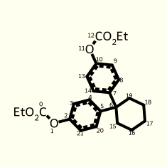 CCOC(=O)Oc1ccc(C2(c3ccc(OC(=O)OCC)cc3)CCCCC2)cc1